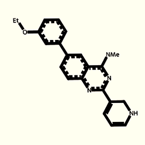 CCOc1cccc(-c2ccc3nc(C4=CC=CNC4)nc(NC)c3c2)c1